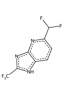 FC(F)c1ccc2[nH]c(C(F)(F)F)nc2n1